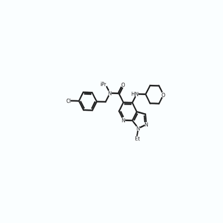 CCn1ncc2c(NC3CCOCC3)c(C(=O)N(Cc3ccc(Cl)cc3)C(C)C)cnc21